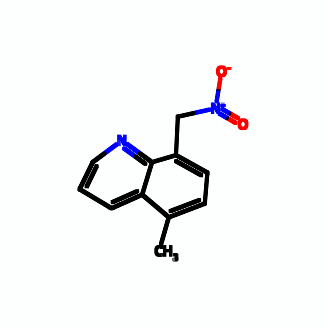 Cc1ccc(C[N+](=O)[O-])c2ncccc12